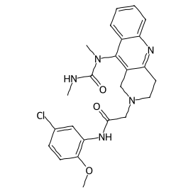 CNC(=O)N(C)c1c2c(nc3ccccc13)CCN(CC(=O)Nc1cc(Cl)ccc1OC)C2